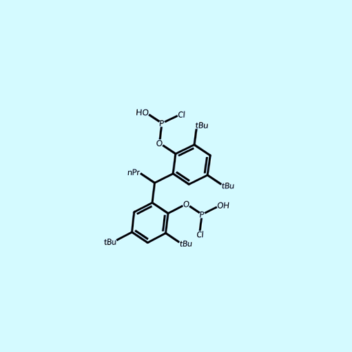 CCCC(c1cc(C(C)(C)C)cc(C(C)(C)C)c1OP(O)Cl)c1cc(C(C)(C)C)cc(C(C)(C)C)c1OP(O)Cl